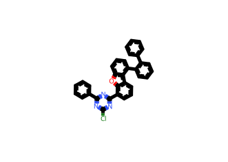 Clc1nc(-c2ccccc2)nc(-c2cccc3c2oc2cccc(-c4ccccc4-c4ccccc4)c23)n1